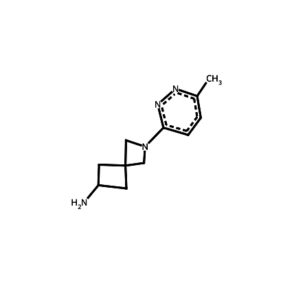 Cc1ccc(N2CC3(CC(N)C3)C2)nn1